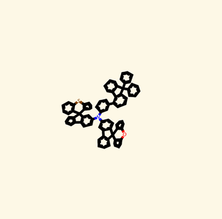 c1ccc(C2(c3ccccc3)c3ccccc3-c3c(-c4cccc(N(c5ccc6c(c5)-c5ccccc5C65c6ccccc6Oc6ccccc65)c5ccc6c(c5)C5(c7ccccc7Sc7ccccc75)c5ccccc5-6)c4)cccc32)cc1